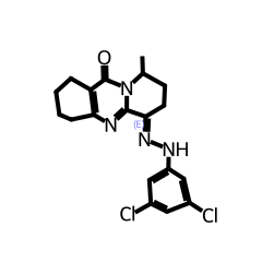 CC1CC/C(=N\Nc2cc(Cl)cc(Cl)c2)c2nc3c(c(=O)n21)CCCC3